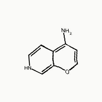 NC1=C2C=CNC=C2OC=C1